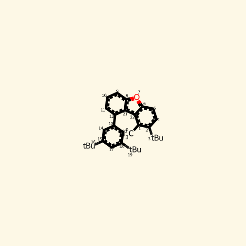 Cc1c(C(C)(C)C)ccc2oc3cccc(-c4cc(C(C)(C)C)cc(C(C)(C)C)c4)c3c12